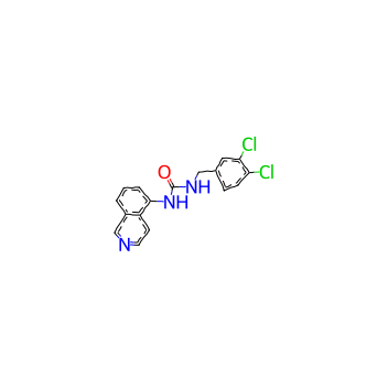 O=C(NCc1ccc(Cl)c(Cl)c1)Nc1cccc2cnccc12